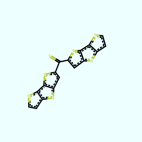 S=C(c1cc2sc3ccsc3c2s1)c1cc2sc3ccsc3c2s1